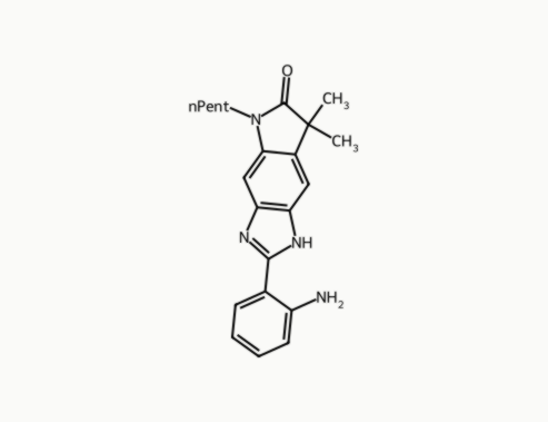 CCCCCN1C(=O)C(C)(C)c2cc3[nH]c(-c4ccccc4N)nc3cc21